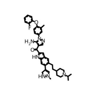 Cc1cc(-n2ncc(C(=O)c3cc4cc(CCC5CCN(C(C)C)CC5)c(C5=CN(C)NC5)cc4[nH]3)c2N)ccc1Oc1ccccc1F